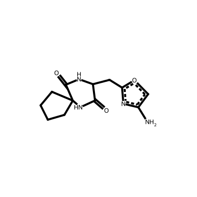 Nc1coc(CC2NC(=O)C3(CCCC3)NC2=O)n1